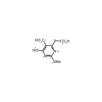 CSc1nc(O)c(C(=O)O)c(CC(=O)O)n1